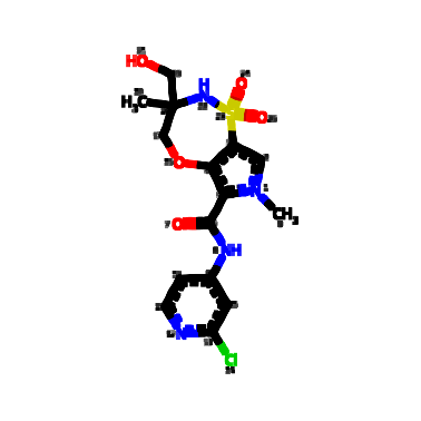 Cn1cc2c(c1C(=O)Nc1ccnc(Cl)c1)OCC(C)(CO)NS2(=O)=O